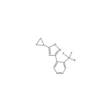 FC(F)(F)c1ccccc1-c1[c]c(C2CC2)on1